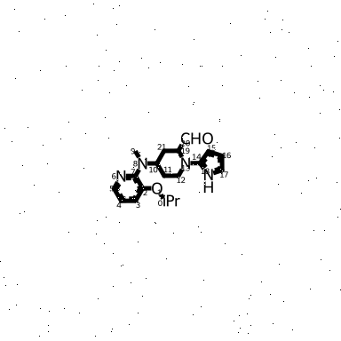 CC(C)Oc1cccnc1N(C)C1CCN(c2ccc[nH]2)C(C=O)C1